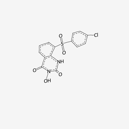 O=c1[nH]c2c(S(=O)(=O)c3ccc(Cl)cc3)cccc2c(=O)n1O